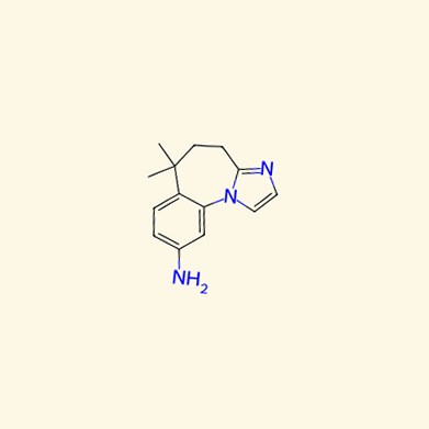 CC1(C)CCc2nccn2-c2cc(N)ccc21